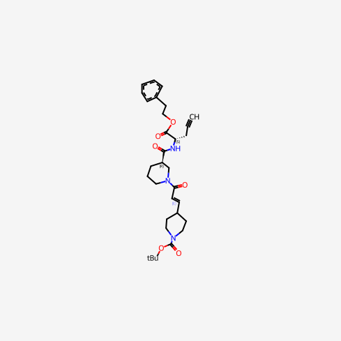 C#CC[C@H](NC(=O)[C@@H]1CCCN(C(=O)/C=C/C2CCN(C(=O)OC(C)(C)C)CC2)C1)C(=O)OCCc1ccccc1